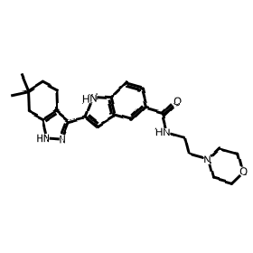 CC1(C)CCc2c(-c3cc4cc(C(=O)NCCN5CCOCC5)ccc4[nH]3)n[nH]c2C1